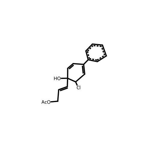 CC(=O)OCC=CC1(O)C=CC(c2ccccc2)=CC1Cl